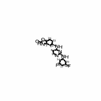 O=c1[nH]c2cc(Nc3ccnc(Nc4cc(F)cc(F)c4)n3)ccc2o1